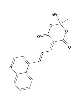 CCCC1(C)OC(=O)C(=CC=Cc2ccnc3ccccc23)C(=O)O1